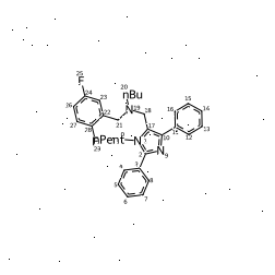 CCCCCn1c(-c2ccccc2)nc(-c2ccccc2)c1CN(CCCC)Cc1cc(F)ccc1F